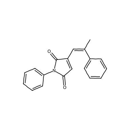 CC(=CC1=CC(=O)N(c2ccccc2)C1=O)c1ccccc1